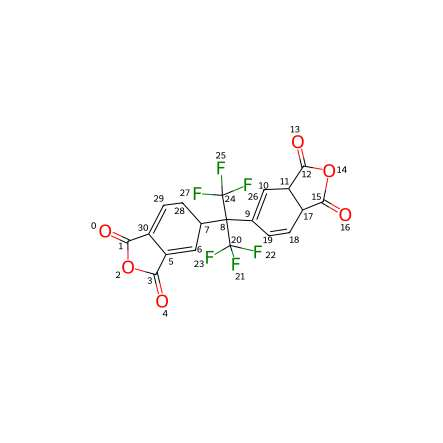 O=C1OC(=O)C2=CC(C(C3=CC4C(=O)OC(=O)C4C=C3)(C(F)(F)F)C(F)(F)F)CC=C12